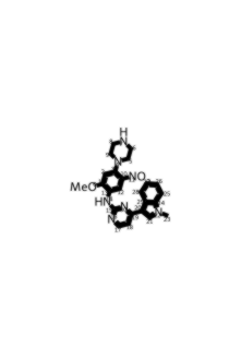 COc1cc(N2CCNCC2)c([N+](=O)[O-])cc1Nc1nccc(-c2cn(C)c3ccccc23)n1